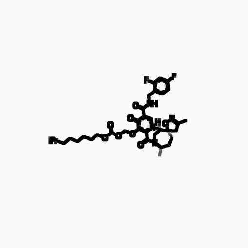 CC1=NO[C@@]2(CC[C@H](C)N3C[C@H]2n2cc(C(=O)NCc4ccc(F)cc4F)c(=O)c(OCOC(=O)OCCCCCCC(C)C)c2C3=O)C1